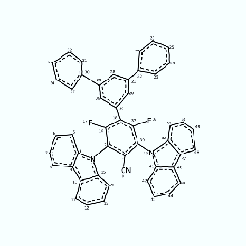 N#Cc1c(-n2c3ccccc3c3ccccc32)c(F)c(-c2cc(-c3ccccc3)cc(-c3ccccc3)c2)c(F)c1-n1c2ccccc2c2ccccc21